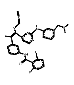 C=C=CS/C(=C(\C)c1cccc(NC(=O)c2c(F)cccc2F)c1)c1ccnc(Nc2cccc(CN(C)C)c2)n1